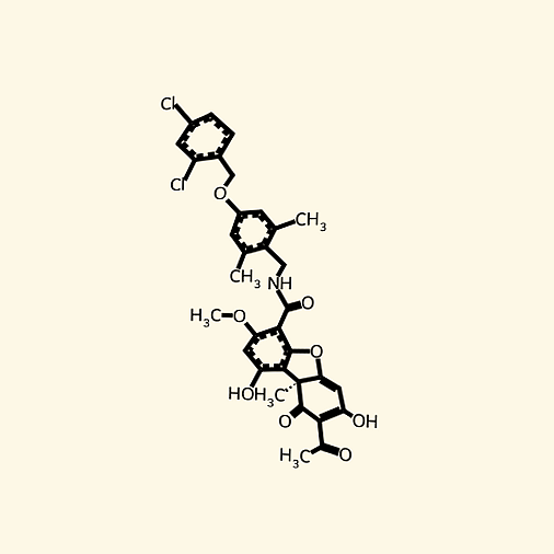 COc1cc(O)c2c(c1C(=O)NCc1c(C)cc(OCc3ccc(Cl)cc3Cl)cc1C)OC1=CC(O)=C(C(C)=O)C(=O)[C@]12C